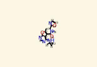 Cc1oc2ncnc(NC3(C)CC3)c2c1C(=O)N(C)Cc1ncco1